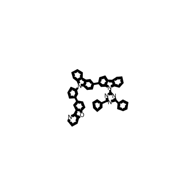 c1ccc(-c2nc(-c3ccccc3)nc(-n3c4ccccc4c4ccc(-c5ccc6c(c5)c5ccccc5n6-c5cccc(-c6ccc7oc8cccnc8c7c6)c5)cc43)n2)cc1